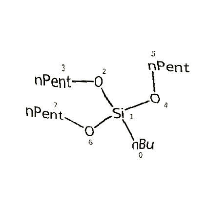 [CH2]CCC[Si](OCCCCC)(OCCCCC)OCCCCC